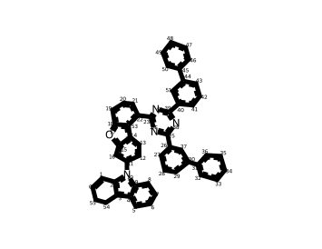 C1=Cc2c(c3ccccc3n2-c2ccc3c(c2)oc2cccc(-c4nc(-c5cccc(-c6ccccc6)c5)nc(-c5cccc(-c6ccccc6)c5)n4)c23)CC1